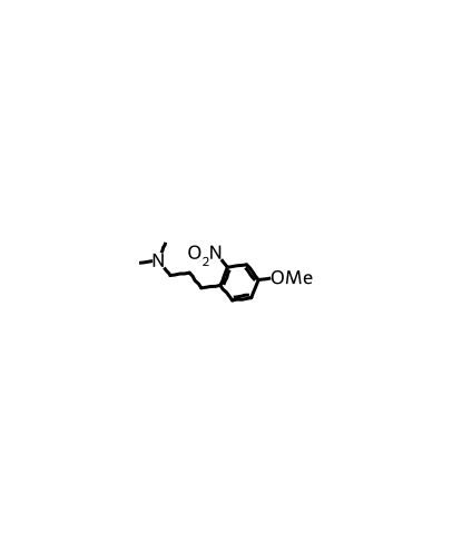 COc1ccc(CCCN(C)C)c([N+](=O)[O-])c1